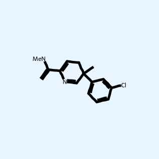 C=C(NC)C1=CCC(C)(c2cccc(Cl)c2)C=N1